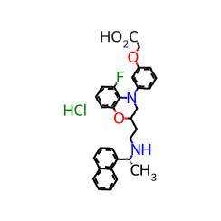 C[C@@H](NCCC1CN(c2cccc(OCC(=O)O)c2)c2c(F)cccc2O1)c1cccc2ccccc12.Cl